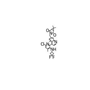 Cc1cc(Cl)nc(-c2ccnc3cc(CN4C(=O)C5C(C4=O)C5(C)C)sc23)c1NC1CC(F)(F)C1